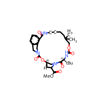 COC(=O)C1C[C@@H]2CN1C(=O)[C@H](C(C)(C)C)NC(=O)OCC(C)(C)CCCCNC(=O)c1cccc3c1CN(C3)C(=O)O2